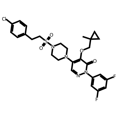 CC1(COc2c(N3CCN(S(=O)(=O)CCc4ccc(Cl)cc4)CC3)cnn(-c3cc(F)cc(F)c3)c2=O)CC1